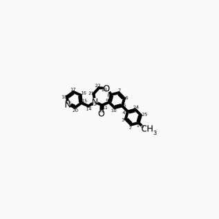 Cc1ccc(-c2ccc3c(c2)C(=O)N(Cc2cccnc2)CCO3)cc1